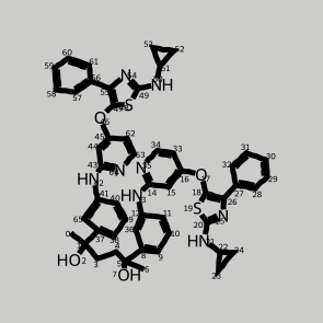 CC(O)(CCC(C)(O)c1cccc(Nc2cc(Oc3sc(NC4CC4)nc3-c3ccccc3)ccn2)c1)c1cccc(Nc2cc(Oc3sc(NC4CC4)nc3-c3ccccc3)ccn2)c1